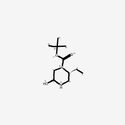 CC[C@@H]1CNC(O)CN1C(=O)OC(C)(C)C